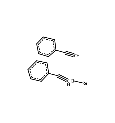 C#Cc1ccccc1.C#Cc1ccccc1.[Cl][Re]